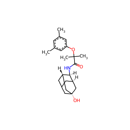 Cc1cc(C)cc(OC(C)(C)C(=O)N[C@H]2[C@@H]3CC4C[C@H]2C[C@](O)(C4)C3)c1